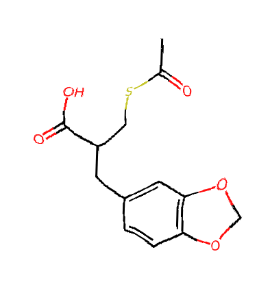 CC(=O)SCC(Cc1ccc2c(c1)OCO2)C(=O)O